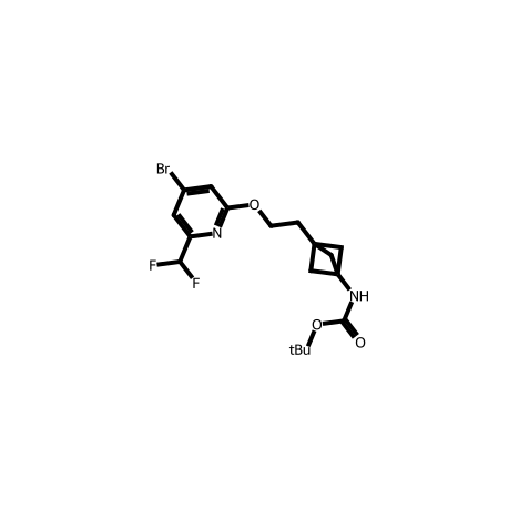 CC(C)(C)OC(=O)NC12CC(CCOc3cc(Br)cc(C(F)F)n3)(C1)C2